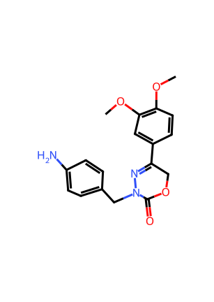 COc1ccc(C2=NN(Cc3ccc(N)cc3)C(=O)OC2)cc1OC